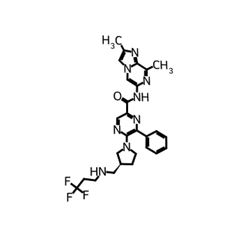 Cc1cn2cc(NC(=O)c3cnc(N4CC[C@@H](CNCCC(F)(F)F)C4)c(-c4ccccc4)n3)nc(C)c2n1